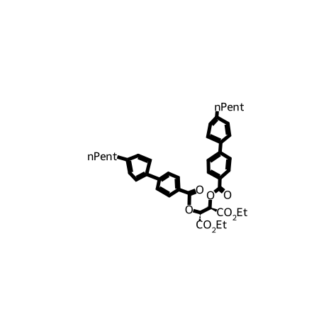 CCCCCc1ccc(-c2ccc(C(=O)O[C@@H](C(=O)OCC)[C@@H](OC(=O)c3ccc(-c4ccc(CCCCC)cc4)cc3)C(=O)OCC)cc2)cc1